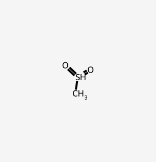 C[SH](=O)=O